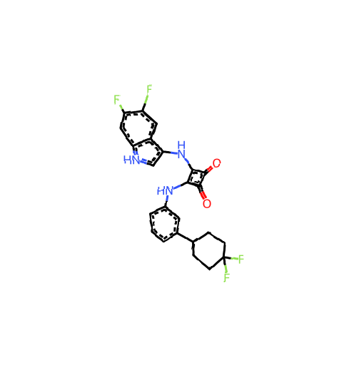 O=c1c(Nc2cccc(C3CCC(F)(F)CC3)c2)c(Nc2c[nH]c3cc(F)c(F)cc23)c1=O